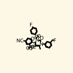 CC1=C(C#N)[C@@H](c2ccc(C#N)cc2S(C)(=O)=O)N(S(=O)(=O)c2ccc(F)cc2)C(=O)N1c1cccc(CF)c1